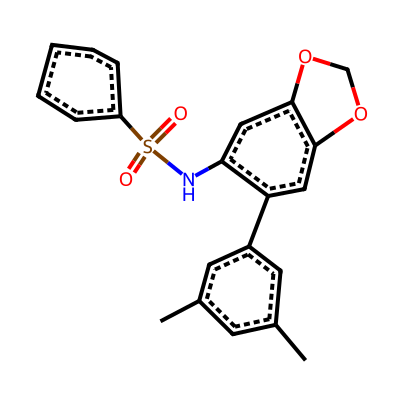 Cc1cc(C)cc(-c2cc3c(cc2NS(=O)(=O)c2ccccc2)OCO3)c1